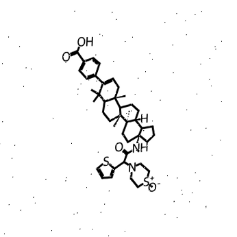 CC1(C)C(c2ccc(C(=O)O)cc2)=CC[C@@]2(C)C1CC[C@]1(C)C2CC[C@@H]2C3CCC[C@]3(NC(=O)C(c3cccs3)N3CC[S+]([O-])CC3)CC[C@]21C